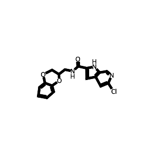 O=C(NCC1COc2ccccc2O1)c1cc2cc(Cl)ncc2[nH]1